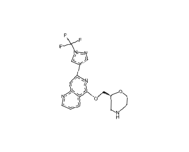 FC(F)(F)n1cc(-c2cc3ncccc3c(OC[C@@H]3CNCCO3)n2)cn1